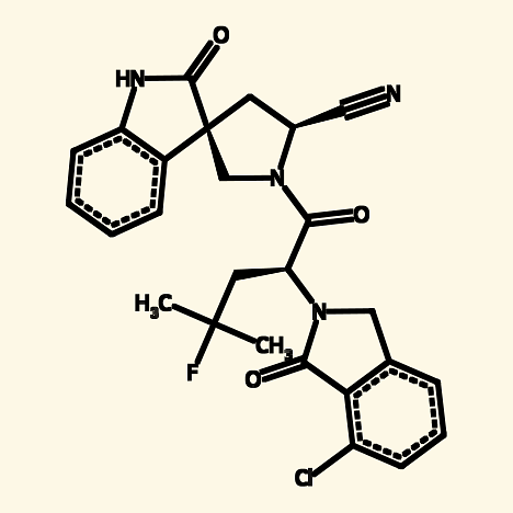 CC(C)(F)C[C@@H](C(=O)N1C[C@]2(C[C@H]1C#N)C(=O)Nc1ccccc12)N1Cc2cccc(Cl)c2C1=O